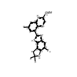 COc1cnc2c(-c3nc4cc(F)c5c(c4s3)CC(C)(C)O5)cc(C)cc2n1